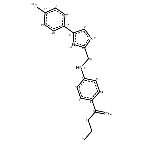 CCCC(=O)c1ccc(NCc2nc(-c3ccc(F)cc3)cs2)cc1